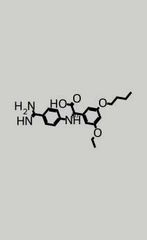 CCCCOc1cc(OCC)cc([C@@H](Nc2ccc(C(=N)N)cc2)C(=O)O)c1